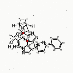 CS(=O)(=O)c1c([C@@H]2C[C@H]3CC[C@@H](C2)N3C(=O)c2nnc(O)[nH]2)nc2c(-c3ccc(-c4ccccc4)nc3)cnn2c1N